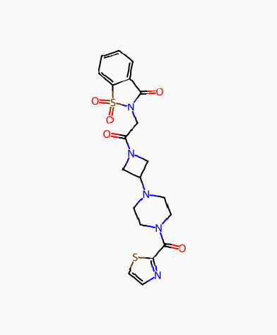 O=C(CN1C(=O)c2ccccc2S1(=O)=O)N1CC(N2CCN(C(=O)c3nccs3)CC2)C1